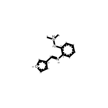 C[SiH](C)Oc1ccccc1N=Cc1ccoc1